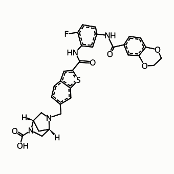 O=C(Nc1ccc(F)c(NC(=O)c2cc3ccc(CN4C[C@@H]5C[C@H]4CN5C(=O)O)cc3s2)c1)c1ccc2c(c1)OCCO2